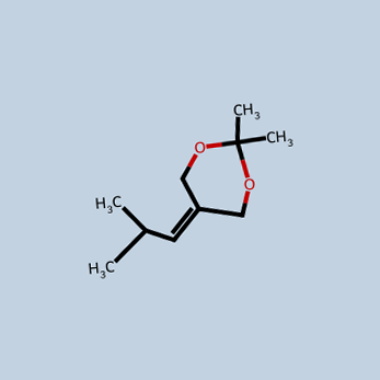 CC(C)C=C1COC(C)(C)OC1